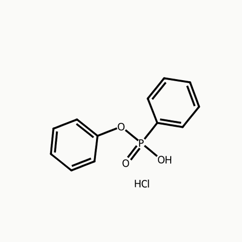 Cl.O=P(O)(Oc1ccccc1)c1ccccc1